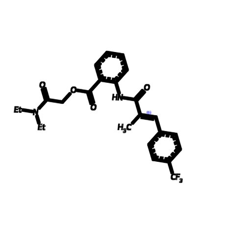 CCN(CC)C(=O)COC(=O)c1ccccc1NC(=O)/C(C)=C/c1ccc(C(F)(F)F)cc1